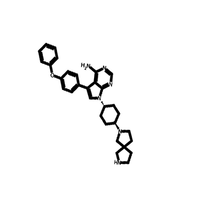 Nc1ncnc2c1c(-c1ccc(Oc3ccccc3)cc1)cn2[C@H]1CC[C@H](N2CCC3(CCNC3)C2)CC1